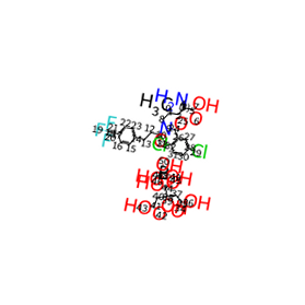 CC(C[C@@H](N)C(=O)O)CN(C(=O)CCc1ccc(C(F)(F)F)cc1)C(=O)c1cc(Cl)ccc1Cl.O=C(O)CC(O)(CC(=O)O)C(=O)O.OB(O)O